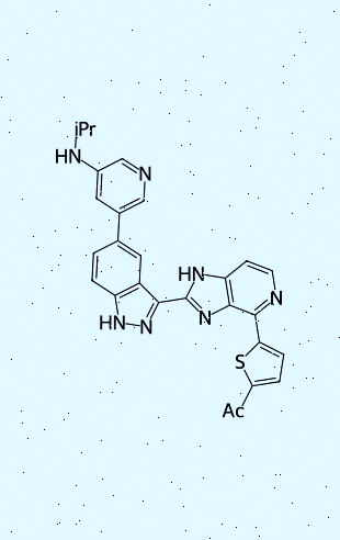 CC(=O)c1ccc(-c2nccc3[nH]c(-c4n[nH]c5ccc(-c6cncc(NC(C)C)c6)cc45)nc23)s1